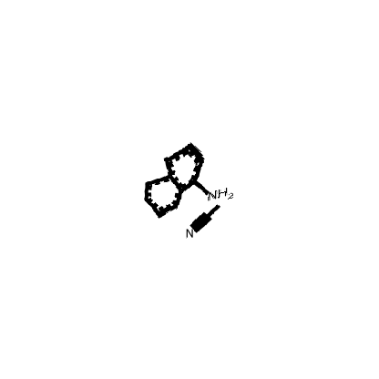 CC#N.Nc1cccc2ccccc12